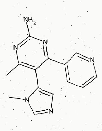 Cc1nc(N)nc(-c2cccnc2)c1-c1cncn1C